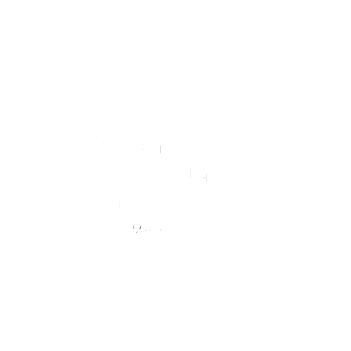 COC(C(O)C(O)=Cc1ccc(C)cc1C)C(O)C(O)C(O)=CC1(C)C=CC=CC1